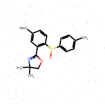 COc1ccc([S+]([O-])c2ccc(C)cc2)c(C2=NC(C)(C)CO2)c1